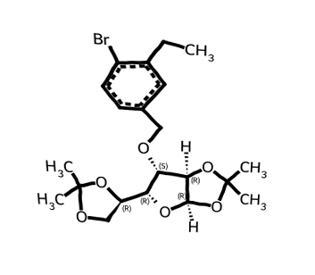 CCc1cc(CO[C@@H]2[C@H]3OC(C)(C)O[C@H]3O[C@@H]2[C@H]2COC(C)(C)O2)ccc1Br